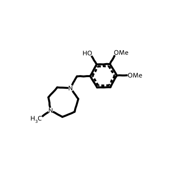 COc1ccc(CN2CCCN(C)CC2)c(O)c1OC